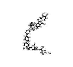 [2H]C1([2H])N(CC2CCN(c3ccc(-c4ccc5[nH]nc(-c6ccc(CNC(=O)c7nc(C(C)(C)C)no7)c(C)c6)c5c4)cc3)CC2)C([2H])([2H])C([2H])([2H])N(c2c(F)cc3c(c2F)C(=O)N(C2CCC(=O)NC2=O)C3=O)C1([2H])[2H]